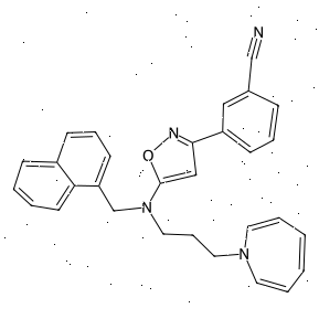 N#Cc1cccc(-c2cc(N(CCCN3C=CC=CC=C3)Cc3cccc4ccccc34)on2)c1